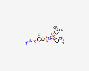 N#Cc1ccc(OP(=O)(CNS(=O)(=O)c2cc3cc(OCCN=[N+]=[N-])cc(Cl)c3s2)Oc2ccc(C#N)c(C(F)(F)F)c2)cc1C(F)(F)F